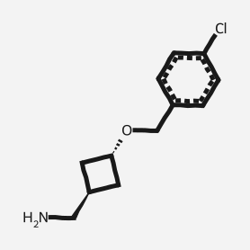 NC[C@H]1C[C@H](OCc2ccc(Cl)cc2)C1